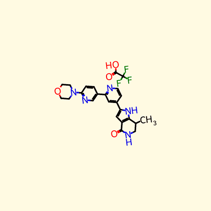 CC1CNC(=O)c2cc(-c3ccnc(-c4ccc(N5CCOCC5)nc4)c3)[nH]c21.O=C(O)C(F)(F)F